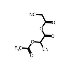 N#CCC(=O)OC(=O)C(C#N)OC(=O)C(F)(F)F